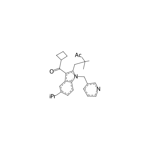 CC(=O)C(C)(C)Cc1c(C(=O)C2CCC2)c2cc(C(C)C)ccc2n1Cc1cccnc1